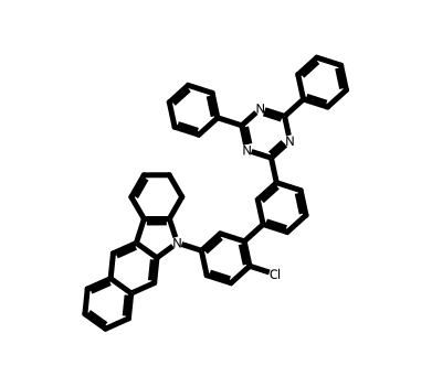 Clc1ccc(-n2c3c(c4cc5ccccc5cc42)C=CCC3)cc1-c1cccc(-c2nc(-c3ccccc3)nc(-c3ccccc3)n2)c1